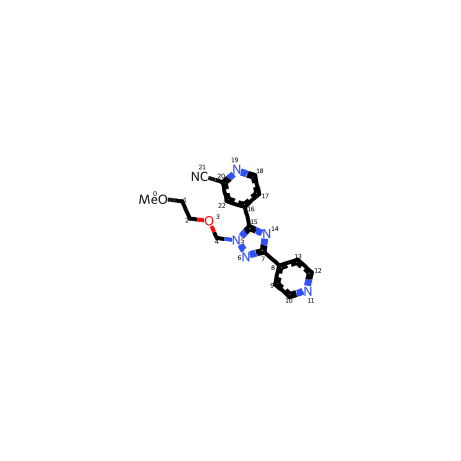 COCCOCn1nc(-c2ccncc2)nc1-c1ccnc(C#N)c1